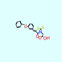 O=C(O)CN1C(=O)/C(=C/c2cccc(OCc3ccccc3)c2)SC1=S